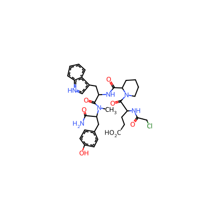 CN(C(=O)C(Cc1c[nH]c2ccccc12)NC(=O)C1CCCCN1C(=O)C(CCC(=O)O)NC(=O)CCl)C(Cc1ccc(O)cc1)C(N)=O